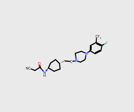 N#CCC(=O)N[C@H]1CC[C@H](CCN2CCN(c3ccc(F)c(C(F)(F)F)c3)CC2)CC1